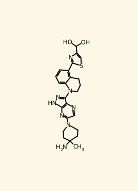 CC1(N)CCN(c2cnc3c(N4CCCc5c(-c6nc(C(O)O)cs6)cccc54)n[nH]c3n2)CC1